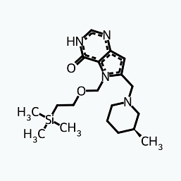 C[C@H]1CCCN(Cc2cc3nc[nH]c(=O)c3n2COCC[Si](C)(C)C)C1